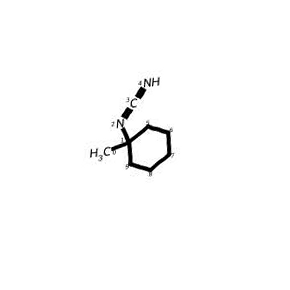 CC1(N=C=N)CCCCC1